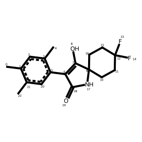 Cc1cc(C)c(C2=C(O)C3(CCC(F)(F)CC3)NC2=O)cc1C